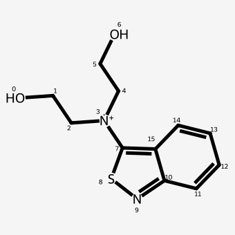 OCC[N+](CCO)c1snc2ccccc12